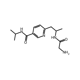 CC(C)NC(=O)c1ccc(CC(C)NC(=O)CN)nc1